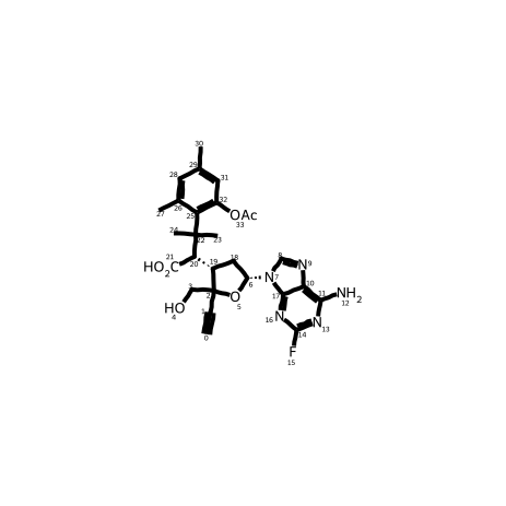 C#CC1(CO)O[C@@H](n2cnc3c(N)nc(F)nc32)C[C@H]1C(C(=O)O)C(C)(C)c1c(C)cc(C)cc1OC(C)=O